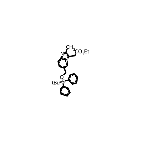 CCOC(=O)Cc1c(C)nc2ccc(CO[Si](c3ccccc3)(c3ccccc3)C(C)(C)C)cn12